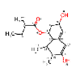 CCC(C)C(=O)OC1CC(O)C=C2C=C(O)C(C)C(C)C21